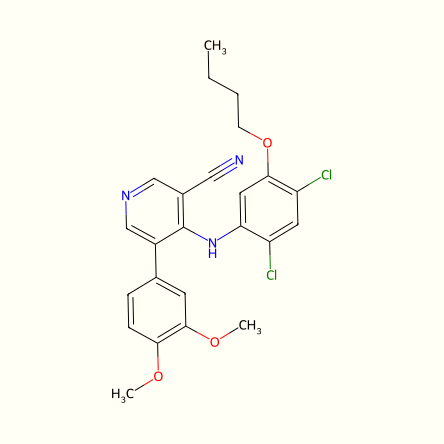 CCCCOc1cc(Nc2c(C#N)cncc2-c2ccc(OC)c(OC)c2)c(Cl)cc1Cl